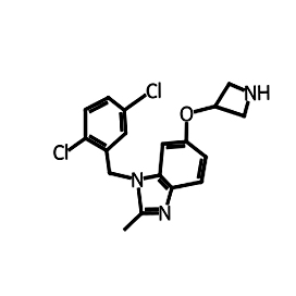 Cc1nc2ccc(OC3CNC3)cc2n1Cc1cc(Cl)ccc1Cl